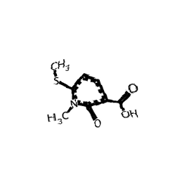 CSc1ccc(C(=O)O)c(=O)n1C